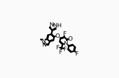 Cn1ncc2cc(Oc3cc(C(F)(F)F)n(-c4ccc(F)cc4)c(=O)c3F)c(-c3cn[nH]c3)cc21